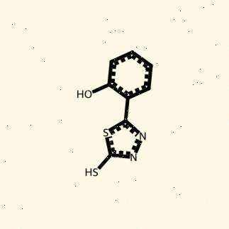 Oc1ccccc1-c1nnc(S)s1